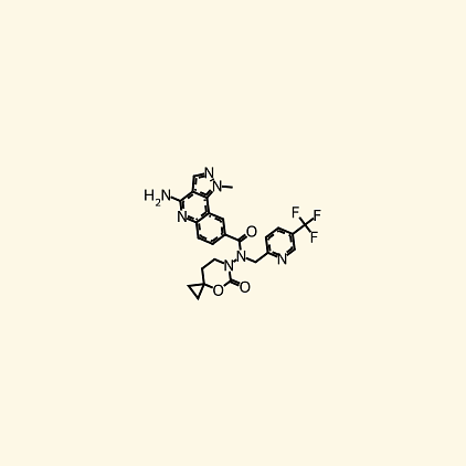 Cn1ncc2c(N)nc3ccc(C(=O)N(Cc4ccc(C(F)(F)F)cn4)N4CCC5(CC5)OC4=O)cc3c21